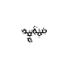 Cc1nc(-c2cccc(-c3cccnc3)c2)cc(-c2cc(-c3cccnc3)cc(-c3cccnc3)c2)n1